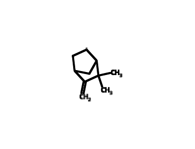 C=C1C2C[CH]C(C2)C1(C)C